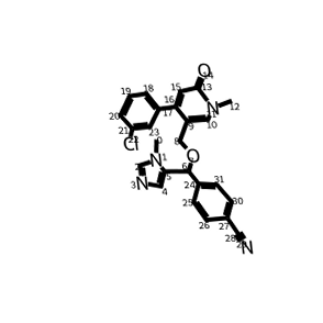 Cn1cncc1C(OCc1cn(C)c(=O)cc1-c1cccc(Cl)c1)c1ccc(C#N)cc1